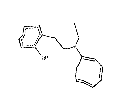 CCP(CCc1ccccc1O)C1=CC=CC=CC1